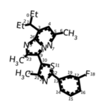 CCC(CC)c1cc(C)nn2c(-c3sc(-c4cccc(F)c4)nc3C)c(C)nc12